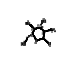 N[C@H]1C(Cl)O[C@H](CO)[C@@H](O)[C@@H]1O